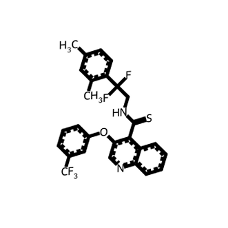 Cc1ccc(C(F)(F)CNC(=S)c2c(Oc3cccc(C(F)(F)F)c3)cnc3ccccc23)c(C)c1